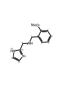 COc1ccccc1CNCc1ncc[nH]1